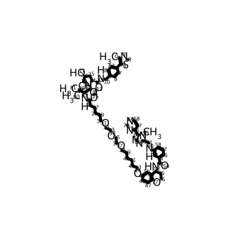 Cc1ncsc1-c1ccc(CNC(=O)[C@@H]2C[C@@H](O)CN2C(=O)C(NC(=O)CCCCCOCCOCCOCCCCCCOc2ccc3c(c2)[C@H](NC(=O)c2cccc(NCc4nnc(-c5ccncn5)n4C)c2)CCO3)C(C)(C)C)cc1